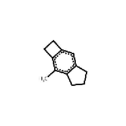 Cc1c2c(cc3c1CC3)CCC2